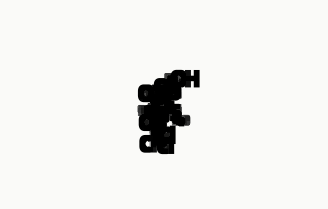 CCSC(=S)S[C@@H]1[C@@H](C(C)OC(=O)OCC(Cl)(Cl)Cl)C(=O)N1OC(=O)CO